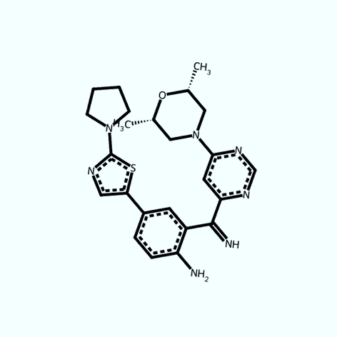 C[C@@H]1CN(c2cc(C(=N)c3cc(-c4cnc(N5CCCC5)s4)ccc3N)ncn2)C[C@H](C)O1